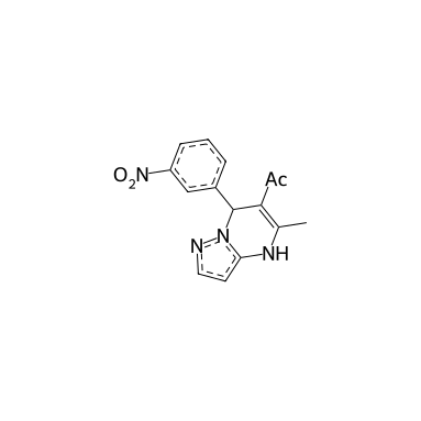 CC(=O)C1=C(C)Nc2ccnn2C1c1cccc([N+](=O)[O-])c1